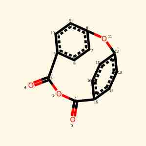 O=C1OC(=O)c2ccc(cc2)Oc2ccc1cc2